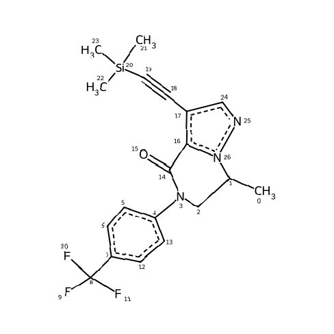 CC1CN(c2ccc(C(F)(F)F)cc2)C(=O)c2c(C#C[Si](C)(C)C)cnn21